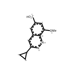 COc1cc(C(=O)O)cc2cc(C3CC3)nnc12